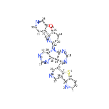 c1cnc2c(c1)sc1c(-c3ncnc4c3c3ncncc3n4-c3ccc4oc5cnccc5c4n3)cncc12